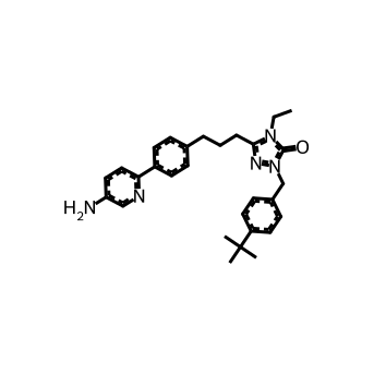 CCn1c(CCCc2ccc(-c3ccc(N)cn3)cc2)nn(Cc2ccc(C(C)(C)C)cc2)c1=O